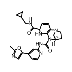 Cc1ncc(-c2ccnc(NC(=O)N3C4=C(C=CC(C(=O)NCC5CC5)N4)N4CC[C@H]3C4)c2)o1